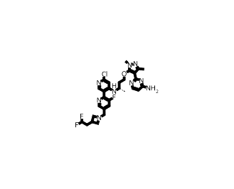 Cc1nn(C)c(OCC[C@H](C)Nc2cc(Cl)ncc2-c2ncc(CN3CC(CC(F)F)C3)cc2F)c1-c1nccc(N)n1